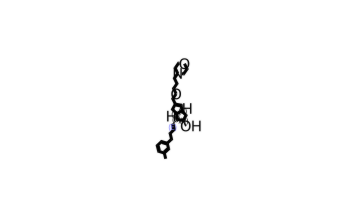 Cc1cccc(CC/C=C/[C@@H]2[C@H]3CC(COCCCN4CCOCC4)=C[C@H]3C[C@H]2O)c1